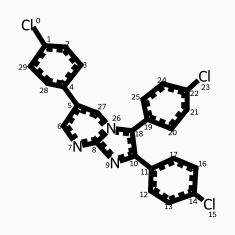 Clc1ccc(-c2cnc3nc(-c4ccc(Cl)cc4)c(-c4ccc(Cl)cc4)n3c2)cc1